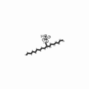 CCCCCCCCCC(CCCCCCC)COS(=O)(=O)O